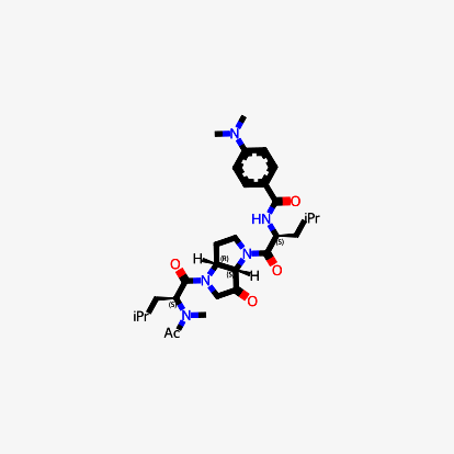 CC(=O)N(C)[C@@H](CC(C)C)C(=O)N1CC(=O)[C@@H]2[C@H]1CCN2C(=O)[C@H](CC(C)C)NC(=O)c1ccc(N(C)C)cc1